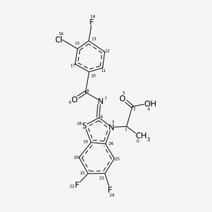 CC(C(=O)O)n1/c(=N/C(=O)c2ccc(F)c(Cl)c2)sc2cc(F)c(F)cc21